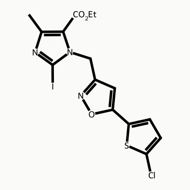 CCOC(=O)c1c(C)nc(I)n1Cc1cc(-c2ccc(Cl)s2)on1